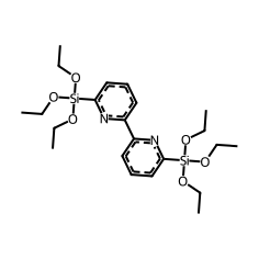 CCO[Si](OCC)(OCC)c1cccc(-c2cccc([Si](OCC)(OCC)OCC)n2)n1